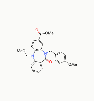 COCN1c2ccccc2C(=O)N(Cc2ccc(OC)cc2)c2cc(C(=O)OC)ccc21